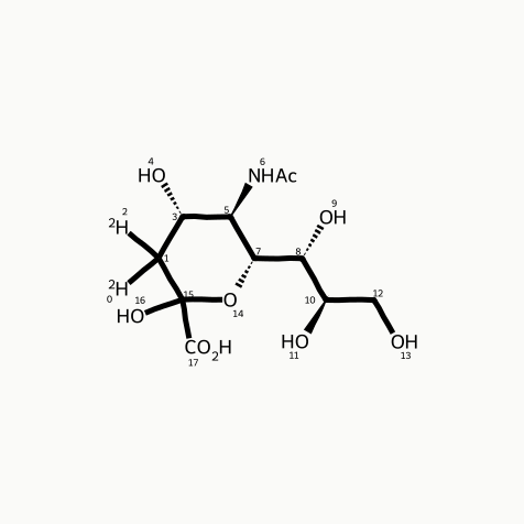 [2H]C1([2H])[C@H](O)[C@@H](NC(C)=O)[C@H]([C@H](O)[C@H](O)CO)OC1(O)C(=O)O